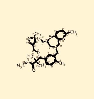 CC[C@@H]1CN(Cc2cc([C@@H](OCc3cn(C)nn3)C(C)(C)C(=O)OC)ccc2C)Cc2nc(C)ccc2O1